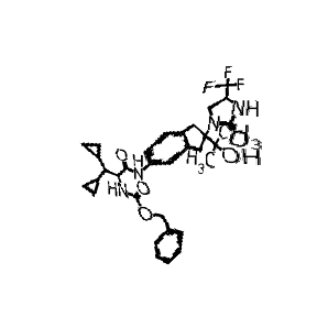 CC(C)(O)C1(N2CC(C(F)(F)F)NC2=O)Cc2ccc(NC(=O)[C@@H](NC(=O)OCc3ccccc3)C(C3CC3)C3CC3)cc2C1